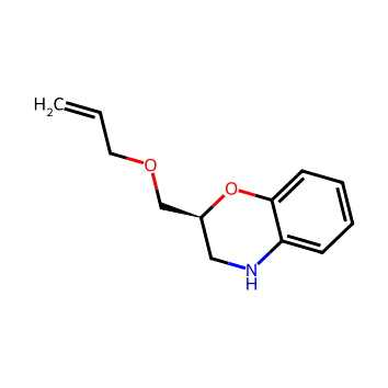 C=CCOC[C@@H]1CNc2ccccc2O1